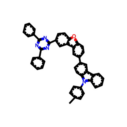 Cc1ccc(-n2c3ccccc3c3cc(-c4ccc5oc6ccc(-c7nc(-c8ccccc8)nc(-c8ccccc8)n7)cc6c5c4)ccc32)cc1